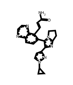 NC(=O)/C=C/c1c(-c2c(-c3ccn(C4CC4)n3)nc3n2CCC3)ccc2nccnc12